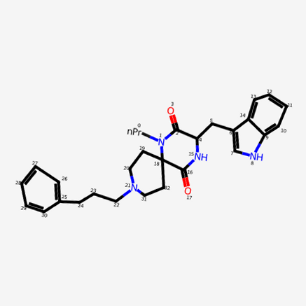 CCCN1C(=O)C(Cc2c[nH]c3ccccc23)NC(=O)C12CCN(CCCc1ccccc1)CC2